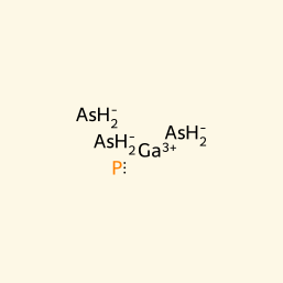 [AsH2-].[AsH2-].[AsH2-].[Ga+3].[P]